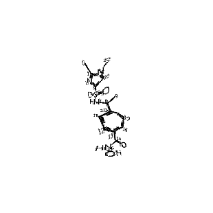 Cc1nc(S(=O)(=O)NC(C)c2ccc(C(=O)NO)cc2)cn1C